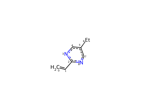 C=Cc1ncc(CC)cn1